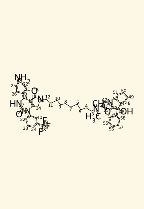 C[N+](C)(CCCCCCCCCCN1CC2=C(C1=O)[C@@H](c1ccc(N)cc1)NC(=O)N2c1cccc(C(F)(F)F)c1)c1cnc(C(O)(c2ccccc2)c2ccccc2)o1